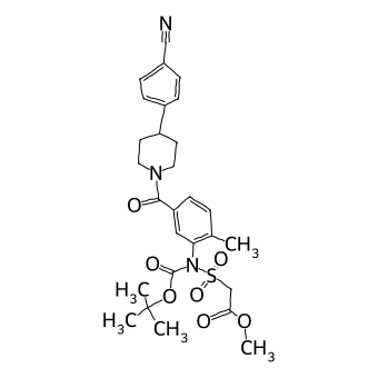 COC(=O)CS(=O)(=O)N(C(=O)OC(C)(C)C)c1cc(C(=O)N2CCC(c3ccc(C#N)cc3)CC2)ccc1C